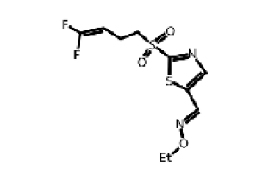 CCON=Cc1cnc(S(=O)(=O)CCC=C(F)F)s1